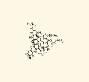 CC(=O)NC1CCCC1C(=O)N[C@H](CCCCN)C(=O)NC1CCCC1C(=O)N[C@H](Cc1ccc(O)cc1)C(=O)NC1CCCC1C(=O)N[C@H](CCCCN)C(N)=O